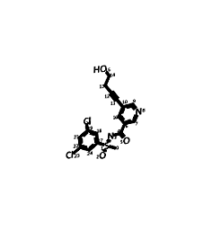 CS(=O)(=NC(=O)c1cncc(C#CCCO)c1)c1cc(Cl)cc(Cl)c1